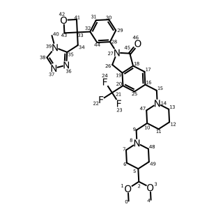 COC(OC)C1CCN(CC2CCCN(Cc3cc4c(c(C(F)(F)F)c3)CN(c3cccc(C5(Cc6nncn6C)COC5)c3)C4=O)C2)CC1